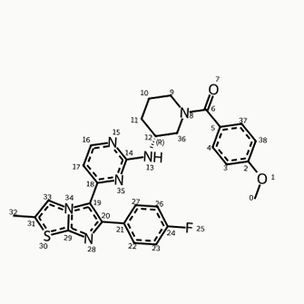 COc1ccc(C(=O)N2CCC[C@@H](Nc3nccc(-c4c(-c5ccc(F)cc5)nc5sc(C)cn45)n3)C2)cc1